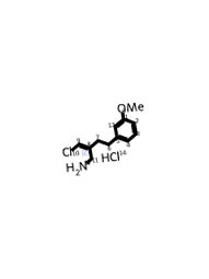 COc1cccc(CC/C(=C/Cl)CN)c1.Cl